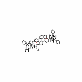 Nc1cc(-c2ccc(-c3ccc4ccccc4c3-c3c(-c4ccc(-c5nc(-c6ccccc6)nc(-c6ccccc6)n5)cc4)ccc4ccccc34)cc2)ccc1Nc1ccccc1